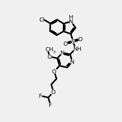 COc1nc(NS(=O)(=O)c2c[nH]c3cc(Cl)ccc23)ncc1OCCOC(F)F